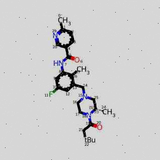 Cc1ccc(C(=O)Nc2cc(F)cc(CN3CCN(C(=O)CC(C)(C)C)[C@@H](C)C3)c2C)cn1